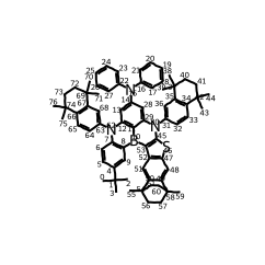 CC(C)(C)c1ccc2c(c1)B1c3c(cc(N(c4ccccc4)c4ccccc4)cc3N(c3ccc4c(c3)C(C)(C)CCC4(C)C)c3sc4cc5c(cc4c31)C1(C)CCC5(C)CC1)N2c1ccc2c(c1)C(C)(C)CCC2(C)C